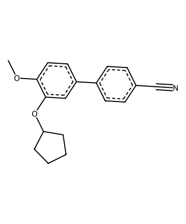 COc1ccc(-c2ccc(C#N)cc2)cc1OC1CCCC1